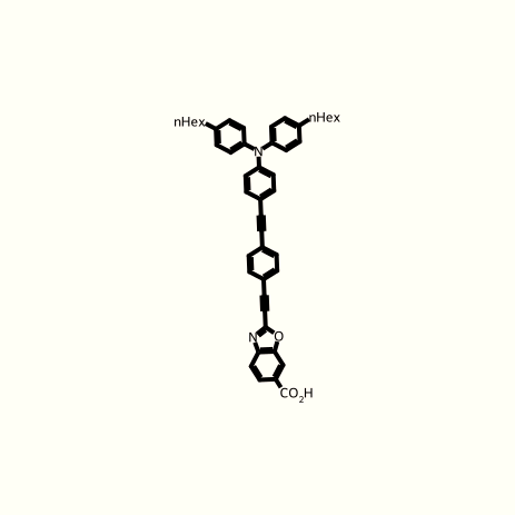 CCCCCCc1ccc(N(c2ccc(C#Cc3ccc(C#Cc4nc5ccc(C(=O)O)cc5o4)cc3)cc2)c2ccc(CCCCCC)cc2)cc1